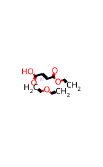 C=COC(=O)/C=C/C(=O)O.C=COC=C